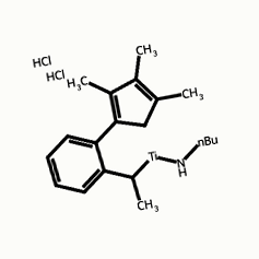 CCCC[NH][Ti][CH](C)c1ccccc1C1=C(C)C(C)=C(C)C1.Cl.Cl